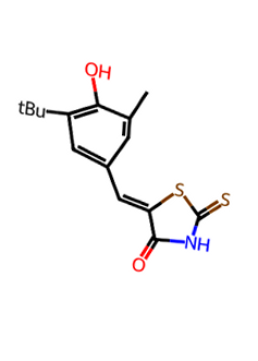 Cc1cc(/C=C2\SC(=S)NC2=O)cc(C(C)(C)C)c1O